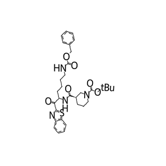 CC(C)(C)OC(=O)N1CCC[C@@H](C(=O)NC(CCCCNC(=O)OCc2ccccc2)C(=O)c2nc3ccccc3s2)C1